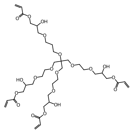 C=CC(=O)OCC(O)COCCCOC(COCCOCC(O)COC(=O)C=C)(COCCOCC(O)COC(=O)C=C)COCCOCC(O)COC(=O)C=C